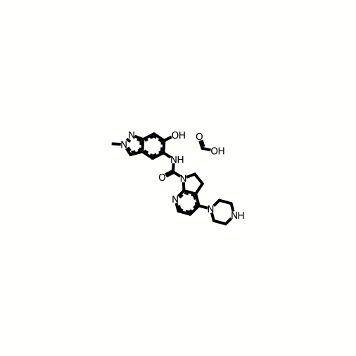 Cn1cc2cc(NC(=O)N3CCc4c(N5CCNCC5)ccnc43)c(O)cc2n1.O=CO